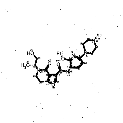 CCOc1nc(N2CCN(C(C)=O)CC2)ccc1NC(=O)c1coc2c1C(=O)N([C@H](C)CO)CC2